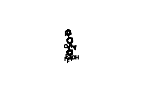 C[C@](O)(c1ccc(C(=O)N(C2CC2)[C@H]2CC[C@H](c3ccccn3)CC2)cc1)C(F)(F)F